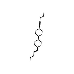 CCCC#CC1CCC(C2CCC(C=CCCC)CC2)CC1